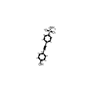 NS(=O)(=O)c1ccc(C#Cc2ccc(O)cc2)cc1